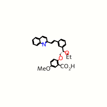 CCO[C@H](COc1ccc(OC)cc1C(=O)O)c1cccc(/C=C/c2ccc3ccccc3n2)c1